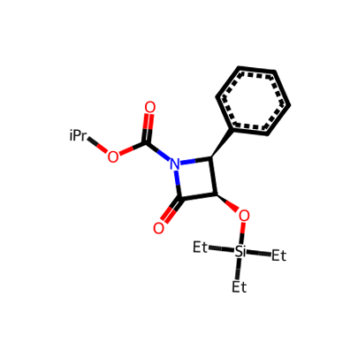 CC[Si](CC)(CC)O[C@H]1C(=O)N(C(=O)OC(C)C)[C@H]1c1ccccc1